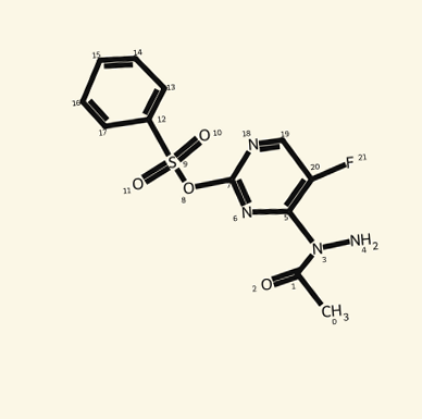 CC(=O)N(N)c1nc(OS(=O)(=O)c2ccccc2)ncc1F